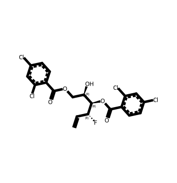 C=C[C@@H](F)[C@H](OC(=O)c1ccc(Cl)cc1Cl)[C@H](O)COC(=O)c1ccc(Cl)cc1Cl